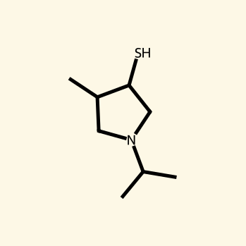 CC1CN(C(C)C)CC1S